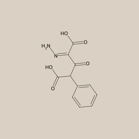 NN=C(C(=O)O)C(=O)C(C(=O)O)c1ccccc1